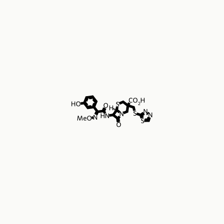 CON=C(C(=O)NC1C(=O)N2CC(CSc3nncs3)(C(=O)O)CS[C@H]12)c1cccc(O)c1